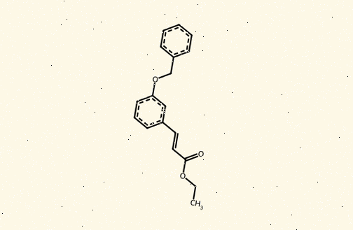 CCOC(=O)/C=C/c1cccc(OCc2ccccc2)c1